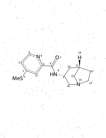 CSc1ccnc(C(=O)N[C@@H]2C[C@@H]3CCN(C3)C2)c1